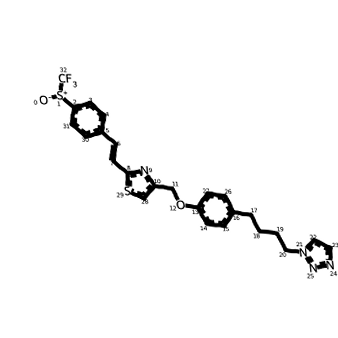 [O-][S+](c1ccc(/C=C/c2nc(COc3ccc(CCCCn4ccnn4)cc3)cs2)cc1)C(F)(F)F